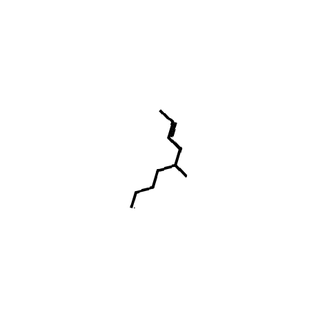 [CH2]CCCC(C)C/C=C/C